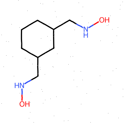 ONCC1CCCC(CNO)C1